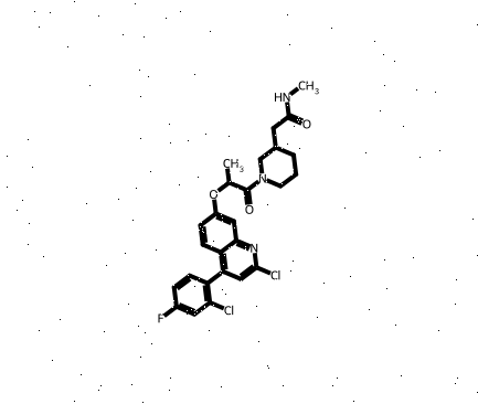 CNC(=O)CC1CCCN(C(=O)C(C)Oc2ccc3c(-c4ccc(F)cc4Cl)cc(Cl)nc3c2)C1